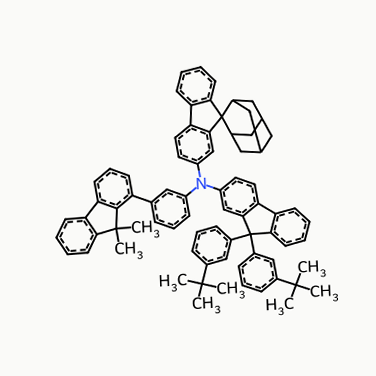 CC(C)(C)c1cccc(C2(c3cccc(C(C)(C)C)c3)c3ccccc3-c3ccc(N(c4cccc(-c5cccc6c5C(C)(C)c5ccccc5-6)c4)c4ccc5c(c4)C4(c6ccccc6-5)C5CC6CC(C5)CC4C6)cc32)c1